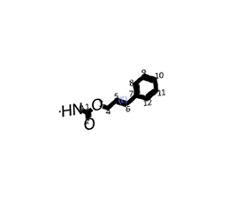 [NH]C(=O)OC/C=C/c1ccccc1